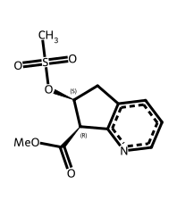 COC(=O)[C@@H]1c2ncccc2C[C@@H]1OS(C)(=O)=O